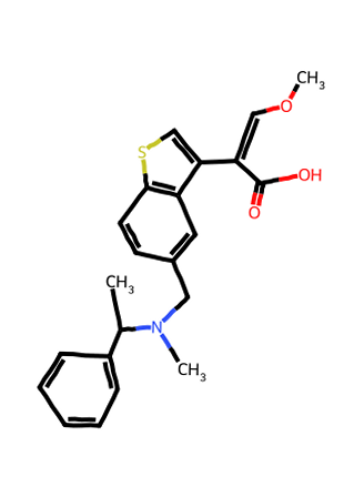 COC=C(C(=O)O)c1csc2ccc(CN(C)C(C)c3ccccc3)cc12